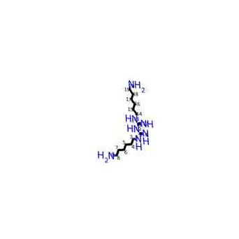 N=C(NCCCCCCN)NC(=N)NCCCCCCN